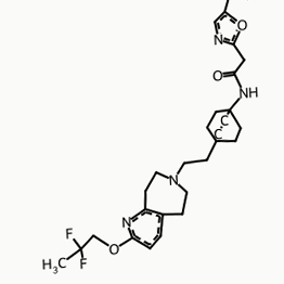 Cc1cnc(CC(=O)NC23CCC(CCN4CCc5ccc(OCC(C)(F)F)nc5CC4)(CC2)CC3)o1